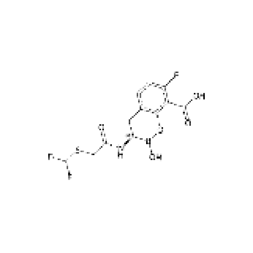 O=C(CSC(F)F)N[C@H]1Cc2ccc(F)c(C(=O)O)c2OB1O